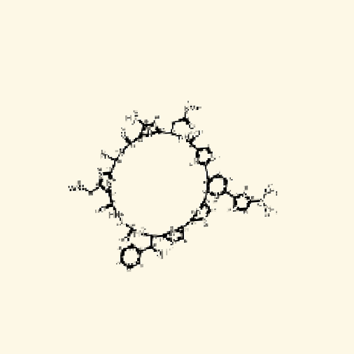 CNC(=O)CC1NC(=O)c2csc(n2)-c2ccc(-c3nc(N(C)C)cs3)nc2-c2csc(n2)-c2csc(n2)C(C(O)c2ccccc2)NC(=O)CNC(=O)c2nc(sc2COC)C(C(C)C)NC(=O)c2nc1sc2C